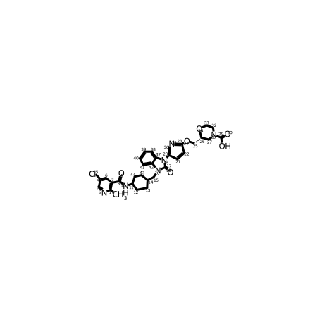 Cc1ncc(Cl)cc1C(=O)NC1CCC(Cn2c(=O)n(-c3ccc(OC[C@H]4CN(C(=O)O)CCO4)nc3)c3ccccc32)CC1